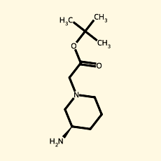 CC(C)(C)OC(=O)CN1CCC[C@@H](N)C1